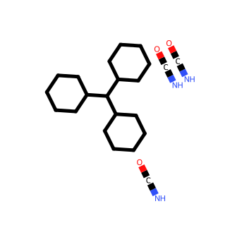 C1CCC(C(C2CCCCC2)C2CCCCC2)CC1.N=C=O.N=C=O.N=C=O